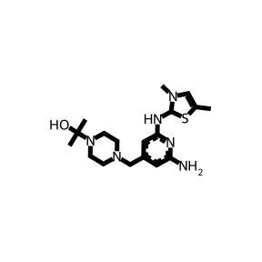 CC1=CN(C)C(Nc2cc(CN3CCN(C(C)(C)O)CC3)cc(N)n2)S1